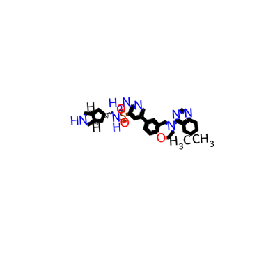 CC1(C)CCc2ncnc(N3CCOc4ccc(-c5cnc(N)c(S(=O)(=O)NC[C@@H]6C[C@H]7CNC[C@H]7C6)c5)cc4C3)c2C1